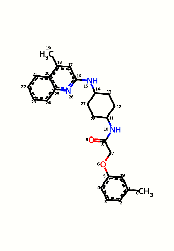 Cc1cccc(OCC(=O)NC2CCC(Nc3cc(C)c4ccccc4n3)CC2)c1